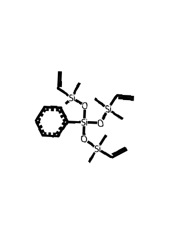 C=C[Si](C)(C)O[Si](O[Si](C)(C)C=C)(O[Si](C)(C)C=C)c1ccccc1